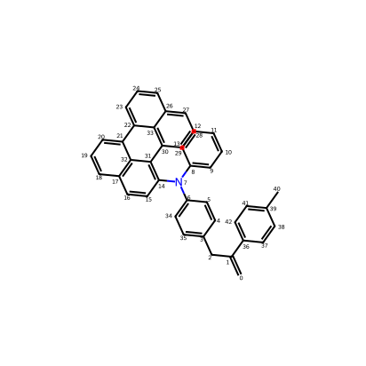 C=C(Cc1ccc(N(c2ccccc2)c2ccc3cccc4c5cccc6cccc(c2c34)c65)cc1)c1ccc(C)cc1